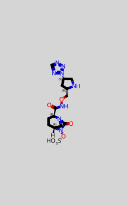 O=C(NOC[C@H]1C[C@H](n2ncnn2)CN1)[C@@H]1CC[C@@H]2CN1C(=O)N2OS(=O)(=O)O